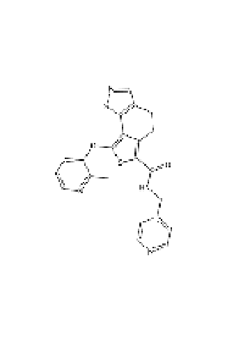 Cc1ncccc1Oc1sc(C(=O)NCc2ccncc2)c2c1-c1sncc1CC2